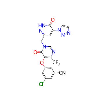 N#Cc1cc(Cl)cc(Oc2c(C(F)(F)F)ncn(Cc3cc(-n4ccnn4)c(=O)[nH]n3)c2=O)c1